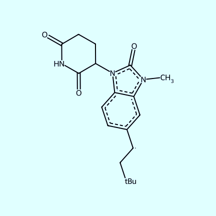 Cn1c(=O)n(C2CCC(=O)NC2=O)c2ccc([CH]CC(C)(C)C)cc21